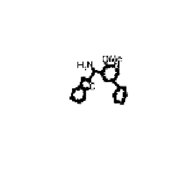 COc1ncc(-c2ccccc2)cc1C(N)c1cc2ccccc2o1